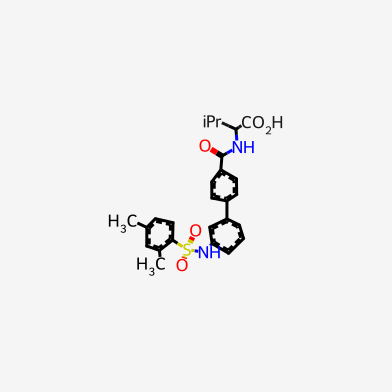 Cc1ccc(S(=O)(=O)Nc2cccc(-c3ccc(C(=O)NC(C(=O)O)C(C)C)cc3)c2)c(C)c1